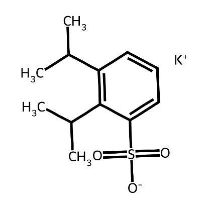 CC(C)c1cccc(S(=O)(=O)[O-])c1C(C)C.[K+]